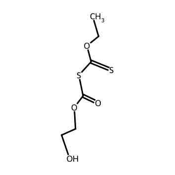 CCOC(=S)SC(=O)OCCO